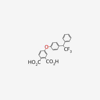 O=C(O)c1ccc(Oc2ccc(C(c3ccccc3)C(F)(F)F)cc2)cc1C(=O)O